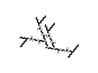 CCCCCCC(CCCC)COC(=O)OCCOC(=O)CCN(CCCN(C)CCCN(CCC(=O)OCCOC(=O)OCC(CCCC)CCCCCC)CCC(=O)OCCOC(=O)OCC(CCCC)CCCCCC)CCC(=O)OCCOC(=O)OCC(CCCC)CCCCCC